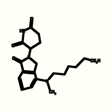 CN(CCCCCC(=O)O)c1cccc2c1CN(C1CCC(=O)NC1=O)C2=O